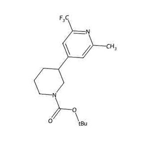 Cc1cc(C2CCCN(C(=O)OC(C)(C)C)C2)cc(C(F)(F)F)n1